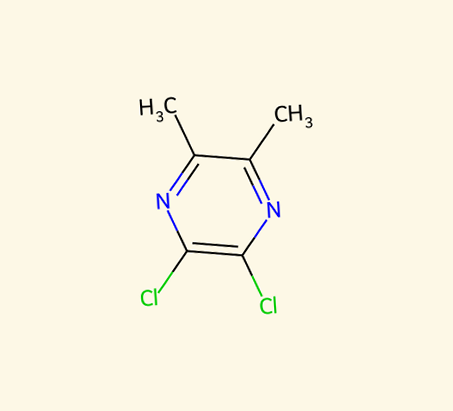 Cc1nc(Cl)c(Cl)nc1C